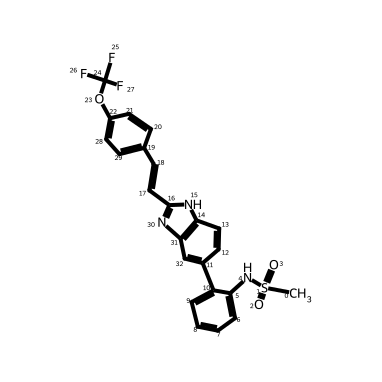 CS(=O)(=O)Nc1ccccc1-c1ccc2[nH]c(C=Cc3ccc(OC(F)(F)F)cc3)nc2c1